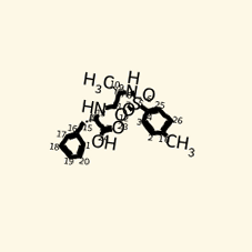 Cc1ccc(S(=O)(=O)N[C@@H](C)C(=O)N[C@@H](Cc2ccccc2)C(=O)O)cc1